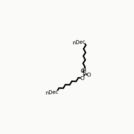 CCCCCCCCCCCCCCCCCO[PH](=O)OCCCCCCCCCCCCCCCCC